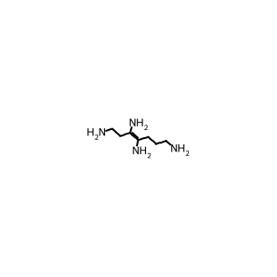 NCCCC(N)=C(N)CCN